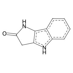 O=C1Cc2[nH]c3ccccc3c2N1